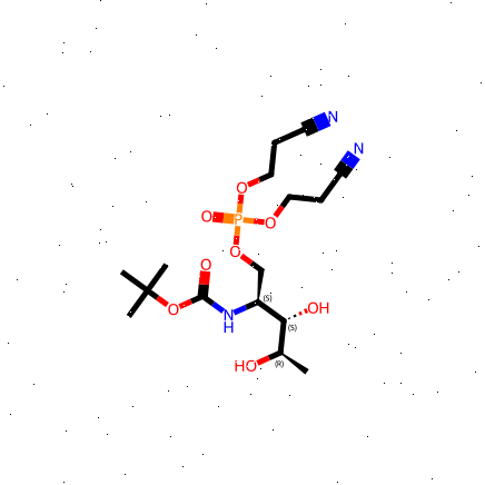 C[C@@H](O)[C@@H](O)[C@H](COP(=O)(OCCC#N)OCCC#N)NC(=O)OC(C)(C)C